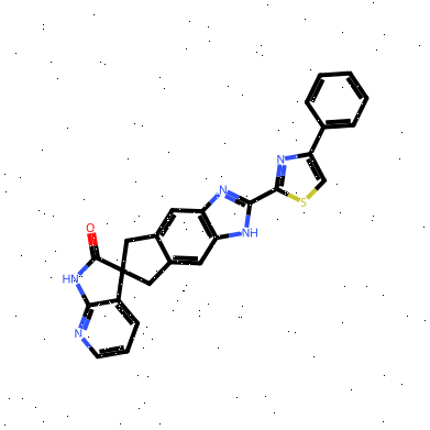 O=C1Nc2ncccc2C12Cc1cc3nc(-c4nc(-c5ccccc5)cs4)[nH]c3cc1C2